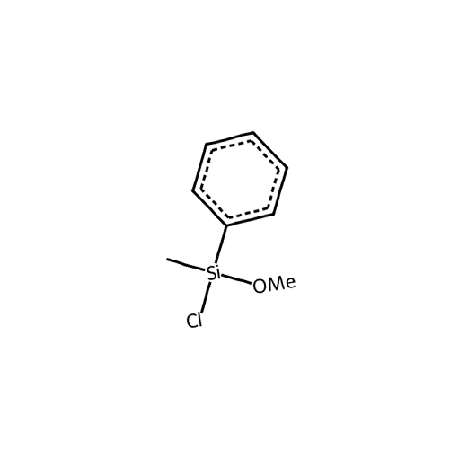 CO[Si](C)(Cl)c1ccccc1